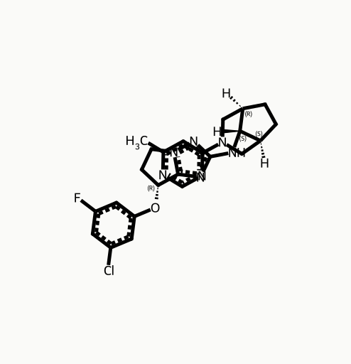 Cc1cc(N2C[C@H]3CC[C@@H](C2)[C@@H]3Nc2nc3n(n2)CC[C@H]3Oc2cc(F)cc(Cl)c2)ncn1